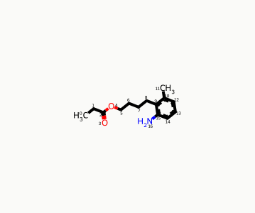 CCC(=O)OCCCCc1c(C)cccc1N